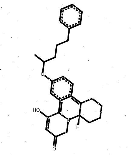 CC(CCCc1ccccc1)Oc1ccc2c(c1)=C1C(O)=CC(=O)CN1[C@H]1CCCCC=21